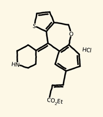 CCOC(=O)C=Cc1ccc2c(c1)C(=C1CCNCC1)c1sccc1CO2.Cl